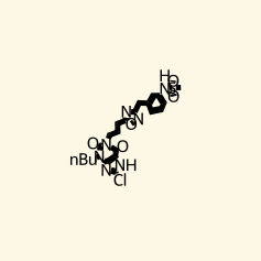 CCCCn1c(=O)n(CCCc2nc(Cc3cccc(NS(C)(=O)=O)c3)no2)c(=O)c2[nH]c(Cl)nc21